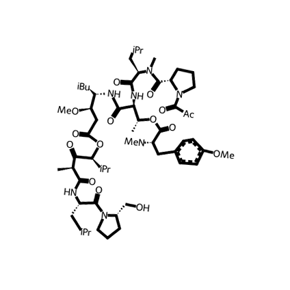 CC[C@H](C)[C@H](NC(=O)[C@@H](NC(=O)[C@@H](CC(C)C)N(C)C(=O)[C@@H]1CCCN1C(=O)C(C)=O)[C@@H](C)OC(=O)[C@H](Cc1ccc(OC)cc1)NC)[C@@H](CC(=O)O[C@H](C(=O)[C@H](C)C(=O)N[C@@H](CC(C)C)C(=O)N1CCC[C@H]1CO)C(C)C)OC